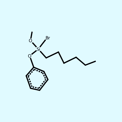 CCCCCC[Si](Br)(OC)Oc1ccccc1